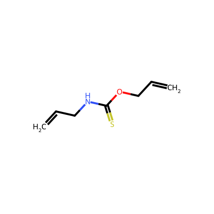 C=CCNC(=S)OCC=C